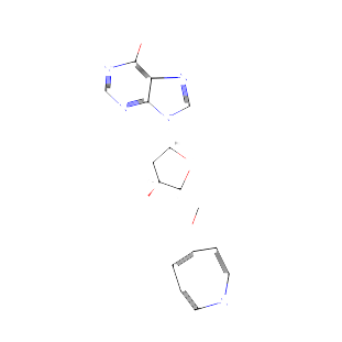 C1=CC=CNC=C1.OC[C@H]1O[C@@H](n2cnc3c(O)ncnc32)C[C@@H]1O